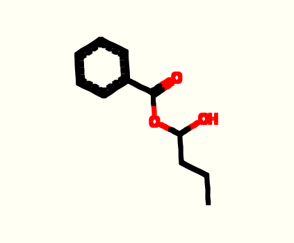 CCCC(O)OC(=O)c1ccccc1